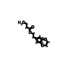 CCCC(=O)OCCn1cc2c(c1)OCCO2